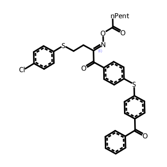 CCCCCC(=O)O/N=C(\CCSc1ccc(Cl)cc1)C(=O)c1ccc(Sc2ccc(C(=O)c3ccccc3)cc2)cc1